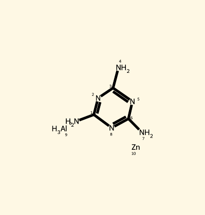 Nc1nc(N)nc(N)n1.[AlH3].[Zn]